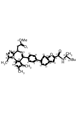 COC(=O)CC1N=C(c2ccc(-c3ccc4cc(C(=O)NC(C)C(C)(C)C)oc4c3)cc2)c2c(sc(C)c2C)-n2c(C)nnc21